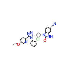 CCOc1ccc(-c2nnc([C@H]3C[C@H](n4c(=O)[nH]c5cc(C#N)ccc54)C3)n2-c2ccccc2Cl)nc1